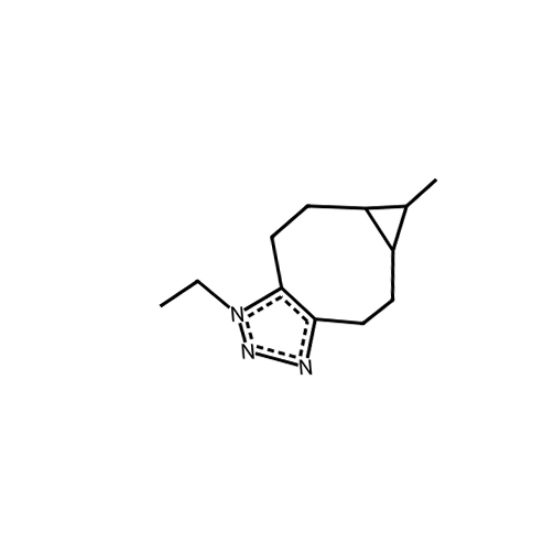 CCn1nnc2c1CCC1C(C)C1CC2